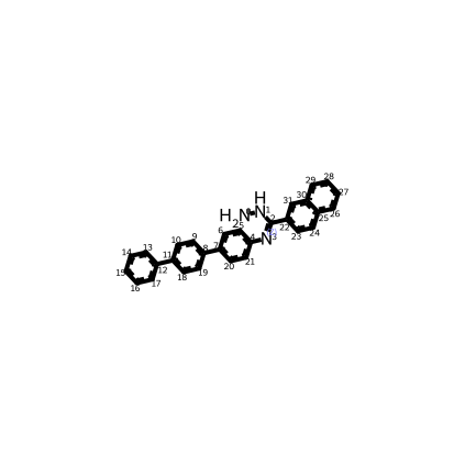 NN/C(=N\c1ccc(-c2ccc(-c3ccccc3)cc2)cc1)c1ccc2ccccc2c1